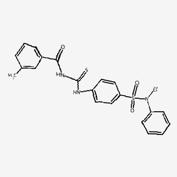 CCN(c1ccccc1)S(=O)(=O)c1ccc(NC(=S)NC(=O)c2cccc(C)c2)cc1